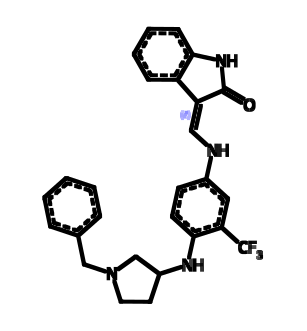 O=C1Nc2ccccc2/C1=C/Nc1ccc(NC2CCN(Cc3ccccc3)C2)c(C(F)(F)F)c1